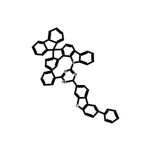 c1ccc(C2=NC(n3c4ccccc4c4ccc5c(c43)-c3ccccc3C53c4ccccc4-c4ccccc43)=NC(c3ccc4c(c3)oc3ccc(-c5ccccc5)cc34)N2)cc1